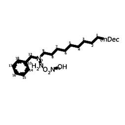 CCCCCCCCCCCCCCCCCCCN(N)Cc1ccccc1.O=[N+]([O-])O